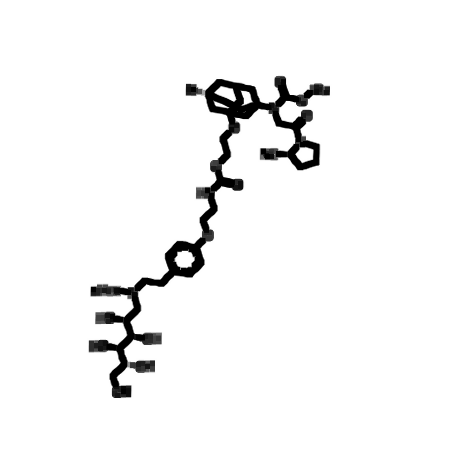 CCCCCCN(CCc1ccc(OCCNC(=O)OCCOC23CC4C[C@H](C2)CC(N(CC(=O)N2CCC[C@H]2C#N)C(=O)OC(C)(C)C)(C4)C3)cc1)C[C@H](O)[C@@H](O)[C@H](O)[C@H](O)CO